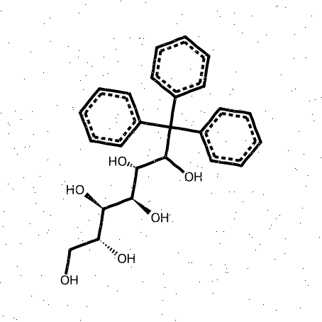 OC[C@@H](O)[C@@H](O)[C@H](O)[C@H](O)C(O)C(c1ccccc1)(c1ccccc1)c1ccccc1